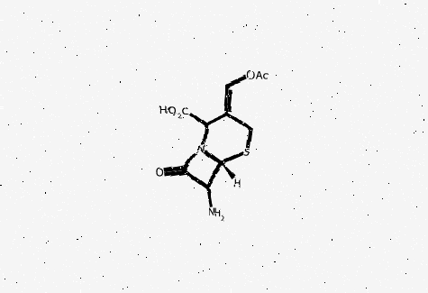 CC(=O)OC=C1CS[C@@H]2C(N)C(=O)N2C1C(=O)O